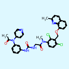 CC(=O)N(c1ccncc1)c1cccc(NC(=O)NCC(=O)N(C)c2ccc(Cl)c(COc3cccc4ccc(C)nc34)c2Cl)c1